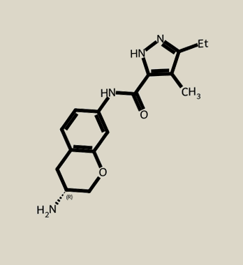 CCc1n[nH]c(C(=O)Nc2ccc3c(c2)OC[C@H](N)C3)c1C